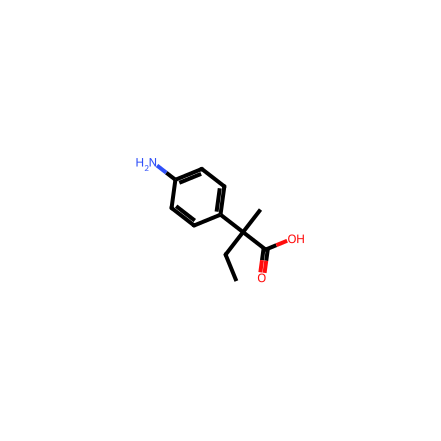 CCC(C)(C(=O)O)c1ccc(N)cc1